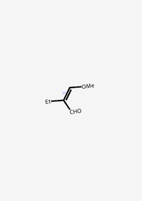 CC/C(C=O)=C/OC